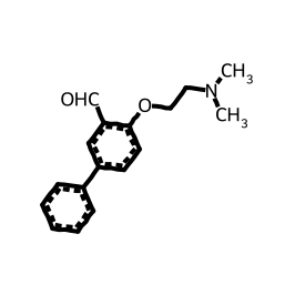 CN(C)CCOc1ccc(-c2ccccc2)cc1C=O